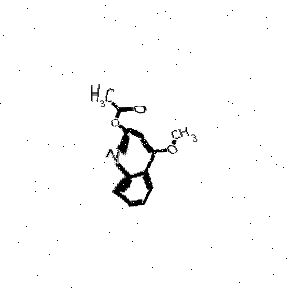 COc1cc(OC(C)=O)nc2ccccc12